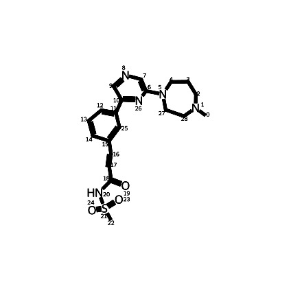 CN1CCCN(c2cncc(-c3cccc(C=CC(=O)NS(C)(=O)=O)c3)n2)CC1